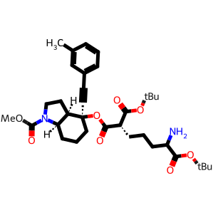 COC(=O)N1CC[C@@H]2[C@H]1CCC[C@]2(C#Cc1cccc(C)c1)OC(=O)[C@@H](CCCC(N)C(=O)OC(C)(C)C)C(=O)OC(C)(C)C